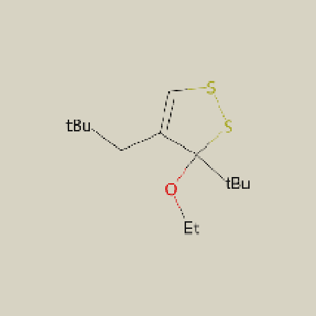 CCOC1(C(C)(C)C)SSC=C1CC(C)(C)C